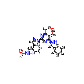 CC(=O)NCc1cccc2c1cnn2-c1nc2c(c(NCc3ccccc3)n1)COCC2